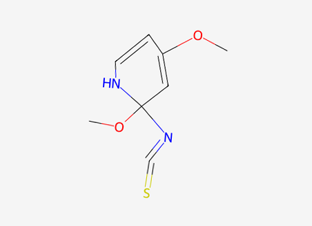 COC1=CC(N=C=S)(OC)NC=C1